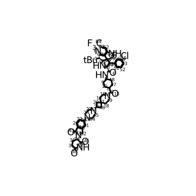 CC(C)(C)C[C@@H]1N[C@@H](C(=O)NC2CCC(C(=O)N3CCC4(CC3)CC(N3CCN(c5ccc6c(c5)CN(C5CCC(=O)NC5=O)C6=O)CC3)C4)CC2)[C@H](c2cccc(Cl)c2F)[C@]12CNc1cc(C(F)(F)F)ncc12